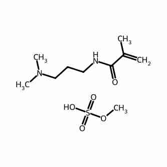 C=C(C)C(=O)NCCCN(C)C.COS(=O)(=O)O